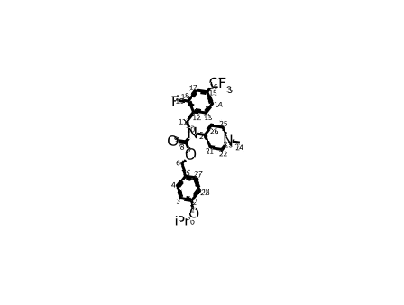 CC(C)Oc1ccc(COC(=O)N(Cc2ccc(C(F)(F)F)cc2F)C2CCN(C)CC2)cc1